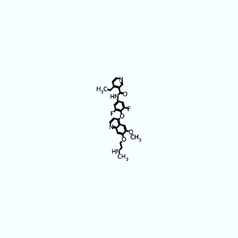 CCc1ccncc1C(=O)Nc1cc(F)c(Oc2ccnc3cc(OCCNC)c(OC)cc23)c(F)c1